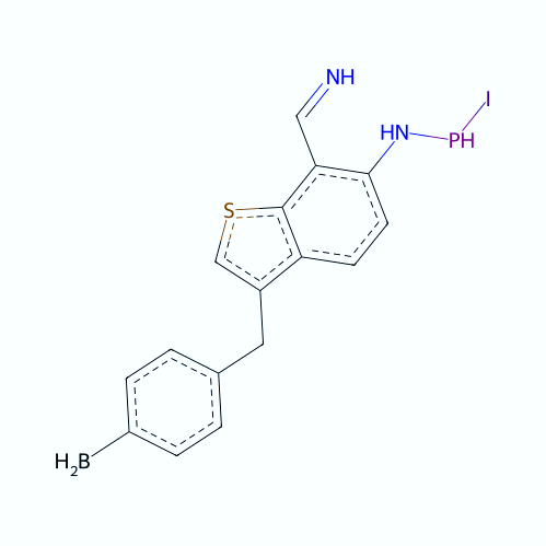 Bc1ccc(Cc2csc3c(C=N)c(NPI)ccc23)cc1